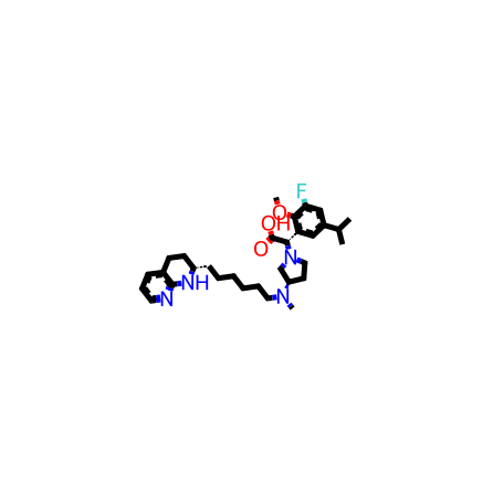 COc1c(F)cc(C(C)C)cc1[C@@H](C(=O)O)N1CC[C@@H](N(C)CCCCCC[C@H]2CCc3cccnc3N2)C1